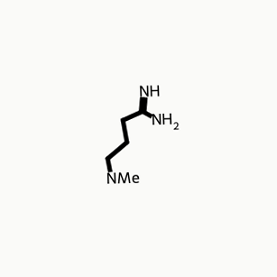 CNCCCC(=N)N